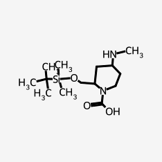 CNC1CCN(C(=O)O)C(CO[Si](C)(C)C(C)(C)C)C1